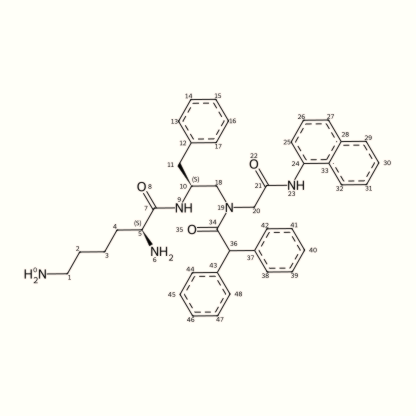 NCCCC[C@H](N)C(=O)N[C@@H](Cc1ccccc1)CN(CC(=O)Nc1cccc2ccccc12)C(=O)C(c1ccccc1)c1ccccc1